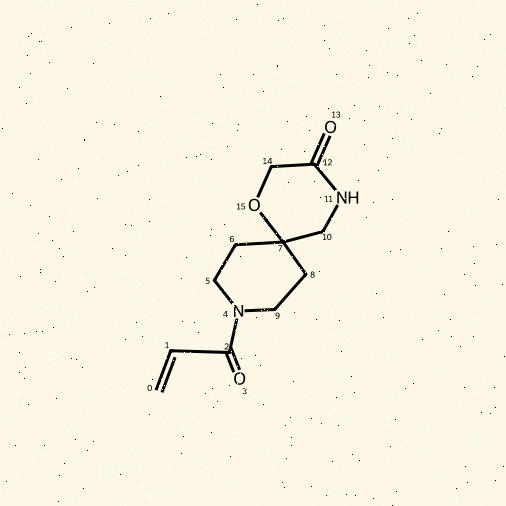 C=CC(=O)N1CCC2(CC1)CNC(=O)CO2